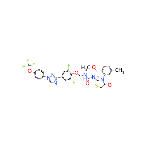 COCc1ccc(C)cc1N1C(=O)CS/C1=N\C(=O)NCOc1c(F)cc(-c2ncn(-c3ccc(OC(F)(F)F)cc3)n2)cc1F